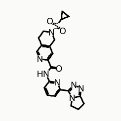 O=C(Nc1cccc(-c2nnc3n2CCC3)n1)c1cc2c(cn1)CCN(S(=O)(=O)C1CC1)C2